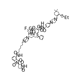 CCC12CC(C3=C(CN4CCN(c5ccc(C(=O)NS(=O)(=O)c6ccc(N[C@H](CCN7CCN(CCCCCCC(=O)Nc8cccc9c8C(=O)N(C8CCC(=O)NC8=O)C9=O)CC7)CSc7ccccc7)c(S(=O)(=O)C(F)(F)F)c6)cc5)CC4)CCC(C)(C)C3)(C1)C2